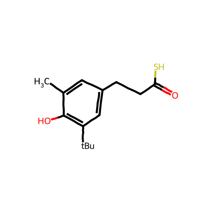 Cc1cc(CCC(=O)S)cc(C(C)(C)C)c1O